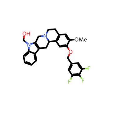 COc1cc2c(cc1OCc1cc(F)c(F)c(F)c1)C1Cc3c(n(CO)c4ccccc34)CN1CC2